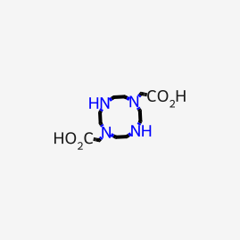 O=C(O)CN1CCNCCN(CC(=O)O)CCNCC1